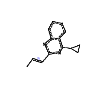 C/C=C/c1nc(C2CC2)c2ccccc2n1